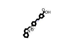 O=C(O)c1ccc(/C=C/c2ccc([S+]([O-])Cc3ccc4ccccc4n3)cc2)cc1